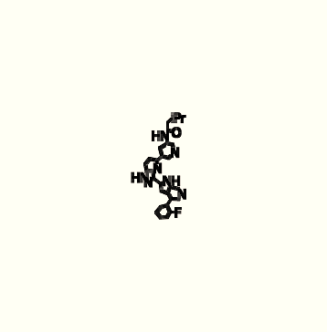 CC(C)CC(=O)Nc1cncc(-c2ccc3[nH]nc(-c4cc5c(-c6ccccc6F)cncc5[nH]4)c3n2)c1